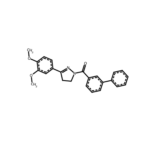 COc1ccc(C2=NN(C(=O)c3cccc(-c4ccccc4)c3)CC2)cc1OC